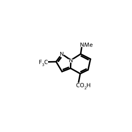 CNc1ccc(C(=O)O)c2cc(C(F)(F)F)nn12